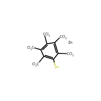 Sc1c(C(Cl)(Cl)Cl)c(C(Cl)(Cl)Cl)c(C(Cl)(Cl)Cl)c(C(Cl)(Cl)Cl)c1C(Cl)(Cl)Cl.[Zn]